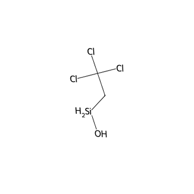 O[SiH2]CC(Cl)(Cl)Cl